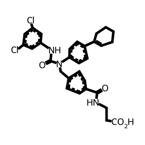 O=C(O)CCNC(=O)c1ccc(CN(C(=O)Nc2cc(Cl)cc(Cl)c2)c2ccc(C3=CCCCC3)cc2)cc1